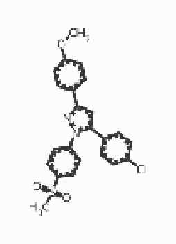 COc1ccc(-c2cc(-c3ccc(Cl)cc3)n(-c3ccc(S(C)(=O)=O)cc3)n2)cc1